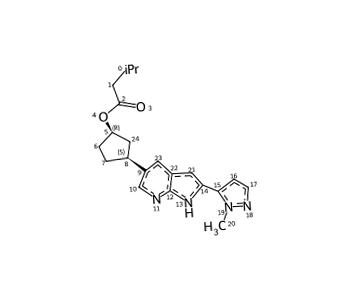 CC(C)CC(=O)O[C@@H]1CC[C@H](c2cnc3[nH]c(-c4ccnn4C)cc3c2)C1